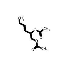 CC/C=C/C(COC(C)=O)OC(C)=O